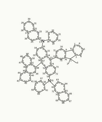 CC1(C)c2ccccc2-c2ccc(-c3c4cc(N(c5ccccc5)c5ccc6ccccc6c5)ccc4c(-c4cc5ccccc5c5ccccc45)c4cc(N(c5ccccc5)c5ccc6ccccc6c5)ccc34)cc21